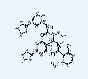 Cc1cccc(F)c1C(=O)N1CCC[C@H](C(=O)Nc2cccc(N3CCCC3)c2)C1c1ccc(N2CCCC2)cc1